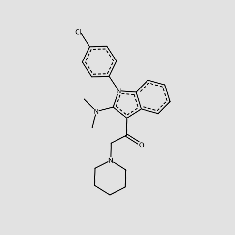 CN(C)c1c(C(=O)CN2CCCCC2)c2ccccc2n1-c1ccc(Cl)cc1